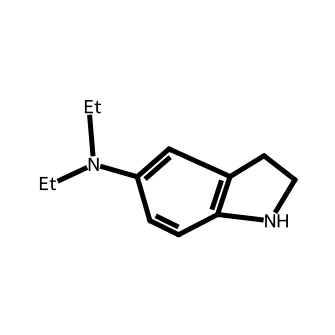 CCN(CC)c1ccc2c(c1)CCN2